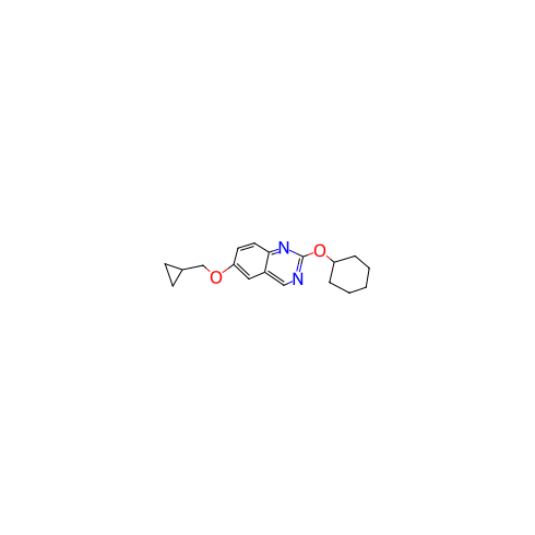 c1cc2nc(OC3CCCCC3)ncc2cc1OCC1CC1